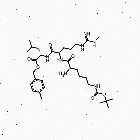 CNC(=N)NCCC[C@@H](NC(=O)[C@H](N)CCCCNC(=O)OC(C)(C)C)C(=O)N[C@@H](CC(C)C)C(=O)OCc1ccc(C)cc1